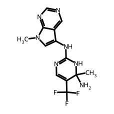 Cn1cc(NC2=NC=C(C(F)(F)F)C(C)(N)N2)c2cncnc21